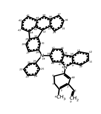 C=CC1=C(C)CCC(n2c3ccccc3c3ccc(N(c4ccccc4)c4ccc5c(c4)-c4c6ccccc6cc6cccc-5c46)cc32)=C1